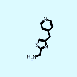 NCc1nc(Cc2ccncc2)cs1